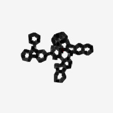 c1ccc(-c2nc(-c3ccc4c5ccccc5n(-c5ccccc5)c4c3)nc(-c3c(-n4c5cc6ccccc6cc5c5cc6ccccc6cc54)ccc4c3oc3ccccc34)n2)cc1